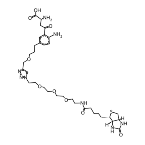 Nc1ccc(CCCOCc2cn(CCOCCOCCOCCNC(=O)CCCC[C@@H]3SC[C@@H]4NC(=O)N[C@@H]43)nn2)cc1C(=O)C[C@H](N)C(=O)O